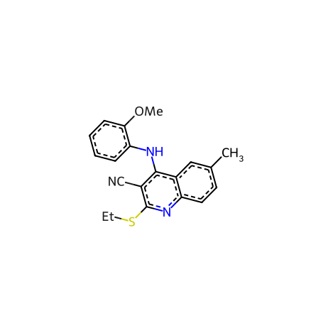 CCSc1nc2ccc(C)cc2c(Nc2ccccc2OC)c1C#N